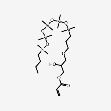 C=CC(=O)OCC(O)COCCC[Si](C)(C)O[Si](C)(C)O[Si](C)(C)O[Si](C)(C)O[Si](C)(C)CCCC